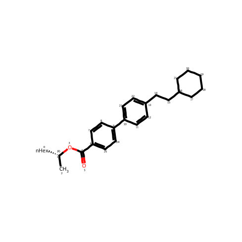 CCCCCC[C@@H](C)OC(=O)c1ccc(-c2ccc(CCC3CC[CH]CC3)cc2)cc1